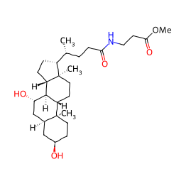 COC(=O)CCNC(=O)CC[C@@H](C)[C@H]1CC[C@H]2[C@@H]3[C@@H](O)C[C@@H]4C[C@H](O)CC[C@]4(C)[C@H]3CC[C@]12C